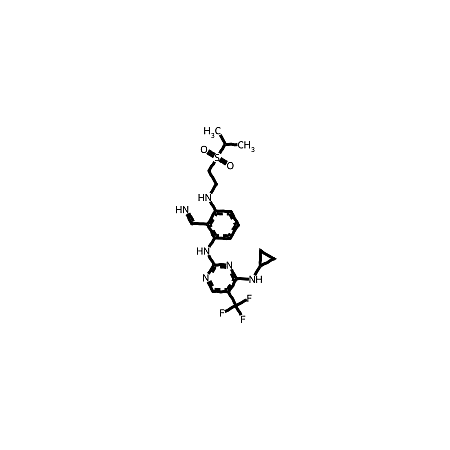 CC(C)S(=O)(=O)CCNc1cccc(Nc2ncc(C(F)(F)F)c(NC3CC3)n2)c1C=N